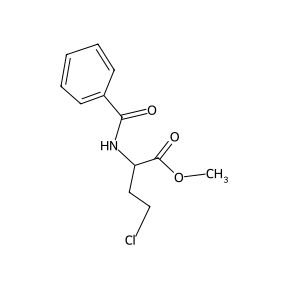 COC(=O)C(CCCl)NC(=O)c1ccccc1